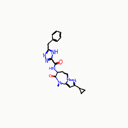 CN1C(=O)C(NC(=O)c2nnc(Cc3ccccc3)[nH]2)CCn2nc(C3CC3)cc21